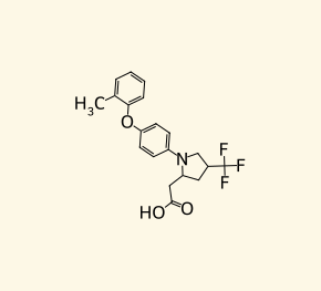 Cc1ccccc1Oc1ccc(N2CC(C(F)(F)F)CC2CC(=O)O)cc1